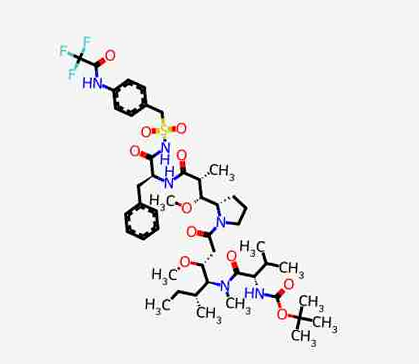 CC[C@@H](C)[C@@H]([C@@H](CC(=O)N1CCC[C@H]1[C@H](OC)[C@@H](C)C(=O)N[C@@H](Cc1ccccc1)C(=O)NS(=O)(=O)Cc1ccc(NC(=O)C(F)(F)F)cc1)OC)N(C)C(=O)[C@@H](NC(=O)OC(C)(C)C)C(C)C